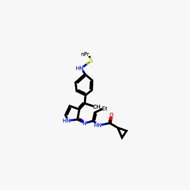 CC/C=C(/N=C1/NC=C/C1=C(/C)c1ccc(NSCCC)cc1)NC(=O)C1CC1